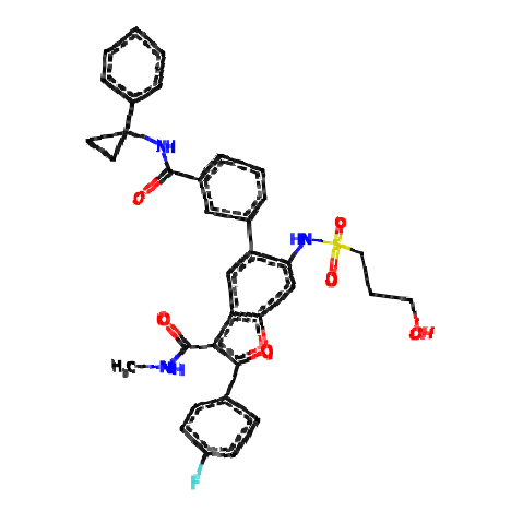 CNC(=O)c1c(-c2ccc(F)cc2)oc2cc(NS(=O)(=O)CCCO)c(-c3cccc(C(=O)NC4(c5ccccc5)CC4)c3)cc12